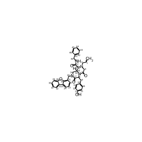 C=CCN1CC(=O)N2C(Cc3ccc(O)cc3)C(=O)N(Cc3cccc4c3oc3ccccc34)C[C@@H]2N1C(=O)NCc1ccccc1